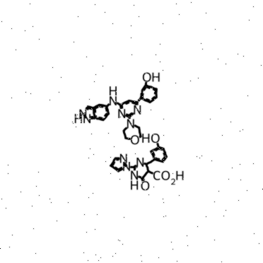 O=C(O)C1C(=O)NC(n2cccn2)=NC1c1cccc(O)c1.Oc1cccc(-c2cc(Nc3ccc4[nH]ncc4c3)nc(N3CCOCC3)n2)c1